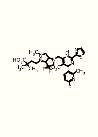 CCOC(=O)C1=C(CN2CC(F)(F)C3C2CN(C)N3CCC(C)(C)C(=O)O)NC(c2nccs2)=N[C@@H]1c1ccc(F)nc1C